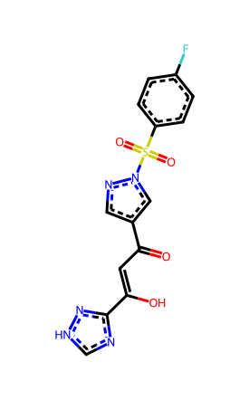 O=C(C=C(O)c1nc[nH]n1)c1cnn(S(=O)(=O)c2ccc(F)cc2)c1